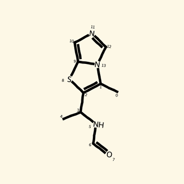 Cc1c(C(C)NC=O)sc2cncn12